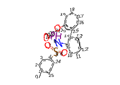 Cc1ccc(S(=O)(=O)N2c3ccccc3-c3ccccc3O[PH]2=O)cc1